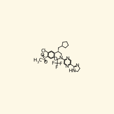 CS(=O)(=O)c1ccc([C@@H](CC2CCCC2)CN(C(=O)C(F)(F)F)c2cnc(C3=NCCN3)cn2)cc1Cl